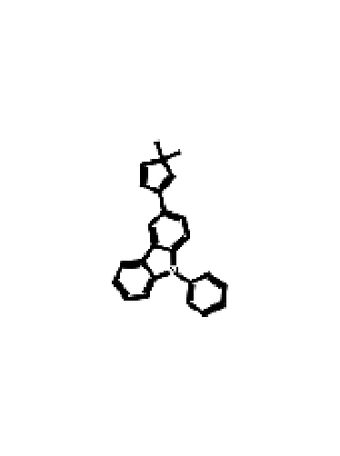 CC1(C)C=CC(c2ccc3c(c2)c2ccccc2n3-c2ccccc2)=C1